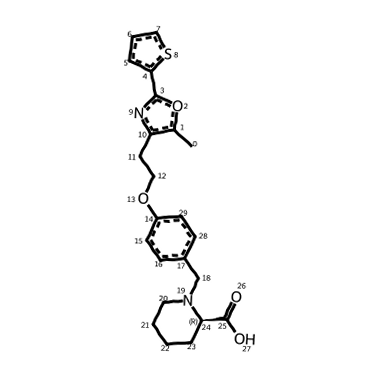 Cc1oc(-c2cccs2)nc1CCOc1ccc(CN2CCCC[C@@H]2C(=O)O)cc1